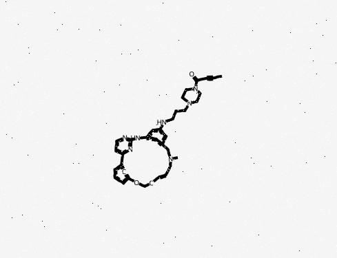 CC#CC(=O)N1CCN(CCCNc2cc3cc(c2)Nc2nccc(n2)-c2cccc(c2)OCC/C=C/CN(C)C3)CC1